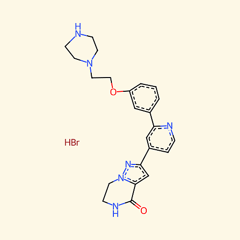 Br.O=C1NCCn2nc(-c3ccnc(-c4cccc(OCCN5CCNCC5)c4)c3)cc21